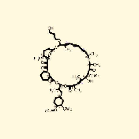 CCCCO[C@@H]1CC[C@@H](C[C@@H](C)[C@@H]2CC(=O)[C@H](C)/C=C(\C)[C@@H](O)[C@@H](OC)C(=O)[C@H](C)C[C@H](C)/C=C/C=C/C=C(\C)C(OCCCO)C[C@@H]3CC[C@@H](C)[C@@](O)(O3)C(=O)C(=O)N3CCCC[C@H]3C(=O)O2)C[C@H]1OC